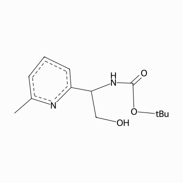 Cc1cccc(C(CO)NC(=O)OC(C)(C)C)n1